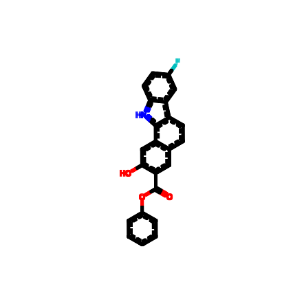 O=C(Oc1ccccc1)c1cc2ccc3c4cc(F)ccc4[nH]c3c2cc1O